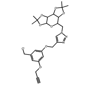 C#CCOc1cc(CCl)cc(OCc2cn(CC3OC4OC(C)(C)OC4C4OC(C)(C)OC34)nn2)c1